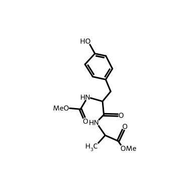 COC(=O)NC(Cc1ccc(O)cc1)C(=O)NC(C)C(=O)OC